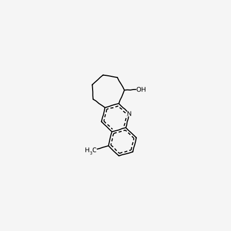 Cc1cccc2nc3c(cc12)CCCCC3O